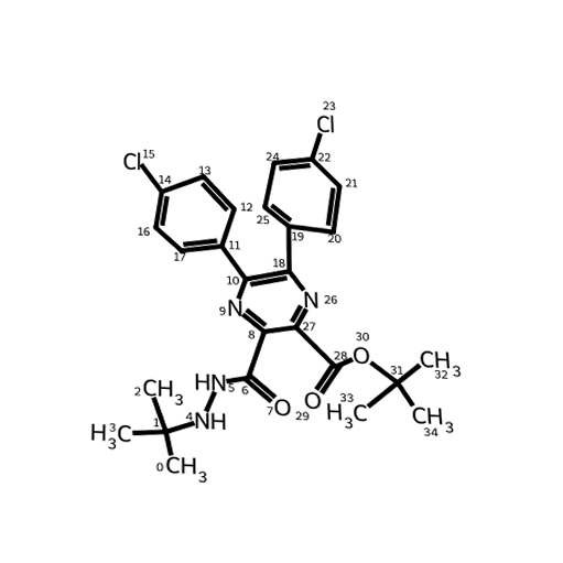 CC(C)(C)NNC(=O)c1nc(-c2ccc(Cl)cc2)c(-c2ccc(Cl)cc2)nc1C(=O)OC(C)(C)C